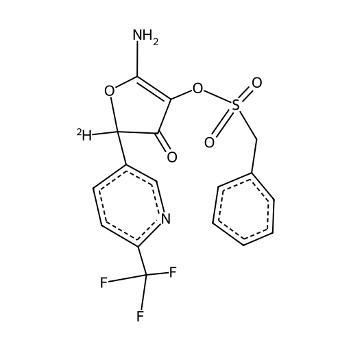 [2H]C1(c2ccc(C(F)(F)F)nc2)OC(N)=C(OS(=O)(=O)Cc2ccccc2)C1=O